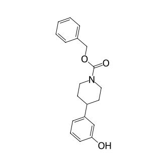 O=C(OCc1ccccc1)N1CCC(c2cccc(O)c2)CC1